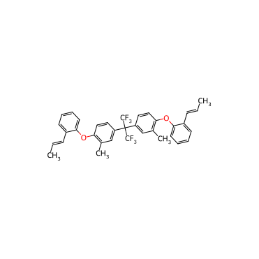 CC=Cc1ccccc1Oc1ccc(C(c2ccc(Oc3ccccc3C=CC)c(C)c2)(C(F)(F)F)C(F)(F)F)cc1C